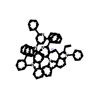 C=Cc1c(/C=C\C)c2c(ccc3c4ccccc4n(-c4cc(-c5ccccc5)nc(-c5cccc(-c6ccccc6-n6c7ccccc7c7ccc8c(c9ccccc9n8-c8cc(-c9ccccc9)nc(-c9ccccc9)c8)c76)c5)c4)c32)n1-c1ccccc1